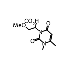 COCC(C(=O)O)n1c(=O)cc(C)n(C)c1=O